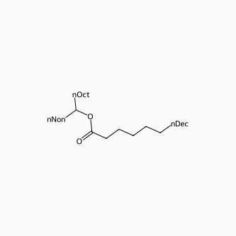 CCCCCCCCCCCCCCCC(=O)OC(CCCCCCCC)CCCCCCCCC